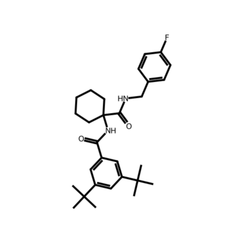 CC(C)(C)c1cc(C(=O)NC2(C(=O)NCc3ccc(F)cc3)CCCCC2)cc(C(C)(C)C)c1